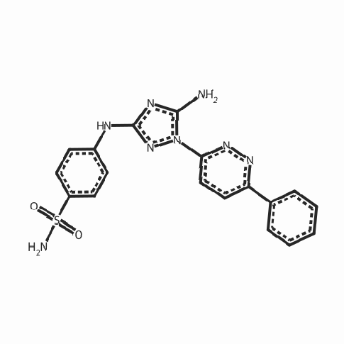 Nc1nc(Nc2ccc(S(N)(=O)=O)cc2)nn1-c1ccc(-c2ccccc2)nn1